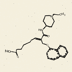 CCN1CCC(NC(=O)/C(=C/CCCCC(=O)O)COc2cccc3ccccc23)CC1